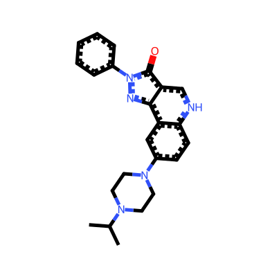 CC(C)N1CCN(c2ccc3[nH]cc4c(=O)n(-c5ccccc5)nc-4c3c2)CC1